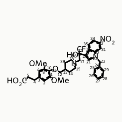 COc1cc(CCC(=O)O)cc(OC)c1OCC1CCN(CC(O)(c2cn(Cc3ccccc3)c3cc([N+](=O)[O-])ccc23)C(F)(F)F)CC1